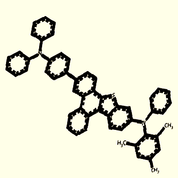 Cc1cc(C)c(N(c2ccccc2)c2ccc3c(c2)sc2c4ccc(-c5ccc(N(c6ccccc6)c6ccccc6)cc5)cc4c4ccccc4c32)c(C)c1